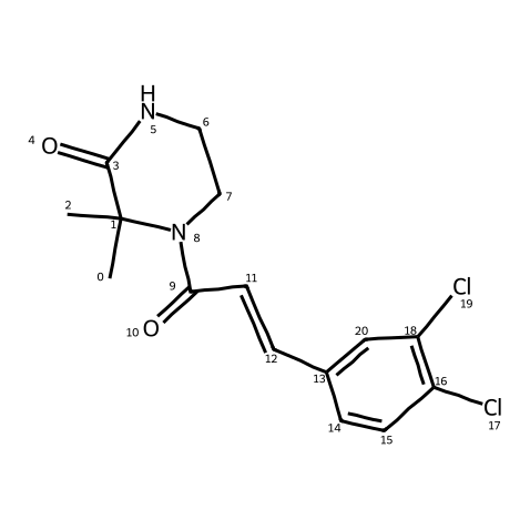 CC1(C)C(=O)NCCN1C(=O)C=Cc1ccc(Cl)c(Cl)c1